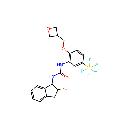 O=C(Nc1cc(S(F)(F)(F)(F)F)ccc1OCC1COC1)NC1c2ccccc2CC1O